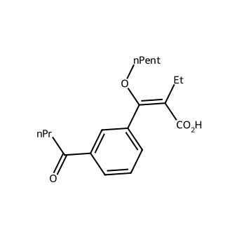 CCCCCOC(=C(CC)C(=O)O)c1cccc(C(=O)CCC)c1